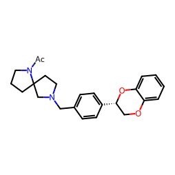 CC(=O)N1CCCC12CCN(Cc1ccc([C@H]3COc4ccccc4O3)cc1)C2